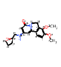 COc1ccc2c(c1OC)CCn1c-2cc(NCC2CCCO2)cc1=O